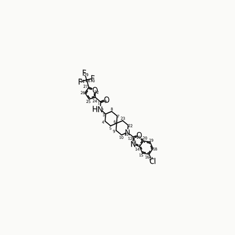 O=C(NC1CCC2(CC1)CCN(c1nc3cc(Cl)ccc3o1)CC2)c1ccc(C(F)(F)F)o1